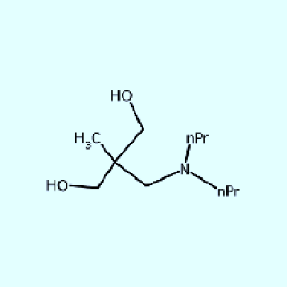 CCCN(CCC)CC(C)(CO)CO